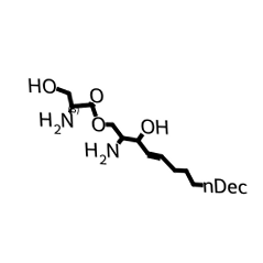 CCCCCCCCCCCCCC=CC(O)C(N)COC(=O)[C@@H](N)CO